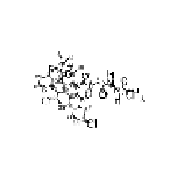 CC(=O)NNC(=O)C[C@H]1O[C@H](c2cccc(Cl)c2)[C@@H](c2ccc(Cl)cc2)N([C@@H](CN(c2ccccc2F)S(=O)(=O)C2CC2)C2CC2)C1=O